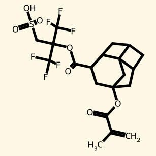 C=C(C)C(=O)OC12CC3CC4CC(C(=O)OC(CS(=O)(=O)O)(C(F)(F)F)C(F)(F)F)(C1)CC34C2